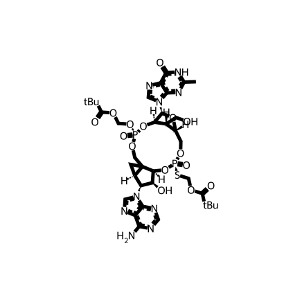 Cc1nc2c(ncn2[C@@H]2O[C@@H]3CO[P@@](=O)(SCOC(=O)C(C)(C)C)O[C@H]4[C@@H](O)[C@H](n5cnc6c(N)ncnc65)[C@H]5CC54CO[P@](=O)(OCOC(=O)C(C)(C)C)O[C@@H]2[C@@H]3CO)c(=O)[nH]1